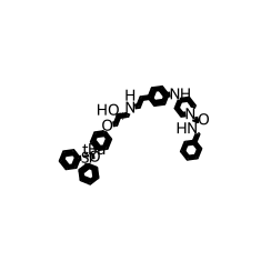 CC(C)(C)[Si](Oc1ccc(OC[C@@H](O)CNCCc2ccc(NC3CCN(C(=O)NCC4CCCCC4)CC3)cc2)cc1)(c1ccccc1)c1ccccc1